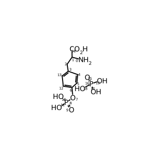 NC(Cc1ccc(OP(=O)(O)O)cc1)C(=O)O.O=P(O)(O)O